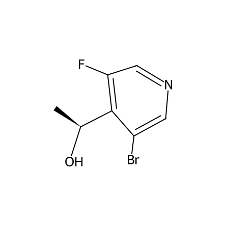 C[C@H](O)c1c(F)cncc1Br